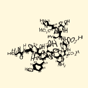 CC(C)C[C@H](NC(=O)[C@H](CC(=O)O)NC(=O)[C@H](CC(=O)O)NC(=O)[C@H](CC(N)=O)NC(=O)[C@H](CO)NC(=O)[C@H](Cc1ccc(O)cc1)NC(=O)[C@@H](NC(=O)CNC(=O)[C@@H](N)CO)[C@@H](C)O)C(=O)N[C@@H](CO)C(=O)N[C@@H](Cc1c[nH]cn1)C(=O)O